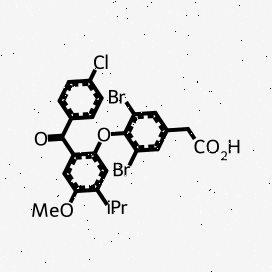 COc1cc(C(=O)c2ccc(Cl)cc2)c(Oc2c(Br)cc(CC(=O)O)cc2Br)cc1C(C)C